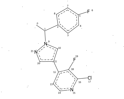 CC(c1ccc(F)cc1)n1cc(-c2ccnc(Cl)c2F)cn1